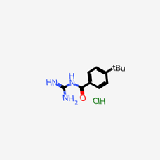 CC(C)(C)c1ccc(C(=O)NC(=N)N)cc1.Cl